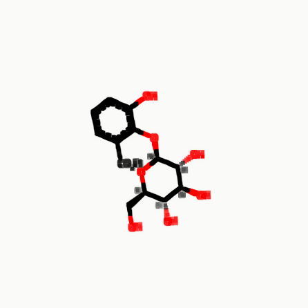 CCOC(=O)c1cccc(O)c1O[C@@H]1O[C@H](CO)[C@@H](O)[C@H](O)[C@H]1O